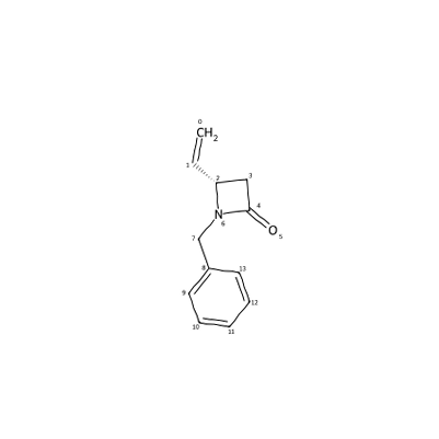 C=C[C@@H]1CC(=O)N1Cc1ccccc1